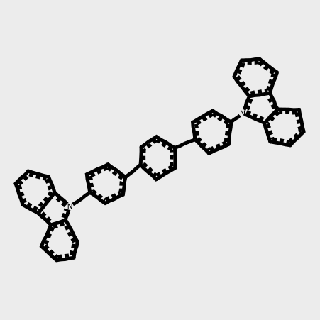 c1ccc2c(c1)c1ccccc1n2-c1ccc(-c2ccc(-c3ccc(-n4c5ccccc5c5ccccc54)cc3)cc2)cc1